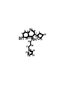 Brc1ccc2ncc(-c3ccco3)c(NCCCn3ccnc3)c2c1